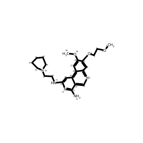 COCCOc1cc2ncc3c(N)nc(NCCN4CCCCC4)cc3c2cc1OC